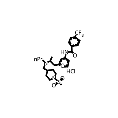 CCCN(CC1CCN(S(C)(=O)=O)CC1)C(C)Cc1cccc(NC(=O)c2ccc(C(F)(F)F)cc2)c1.Cl